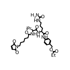 CCC(=O)OCc1ccc(NC(=O)C(CCCNC(N)=O)NC(=O)C(NC(=O)CCCCCN2C(=O)C=CC2=O)C(C)C)cc1